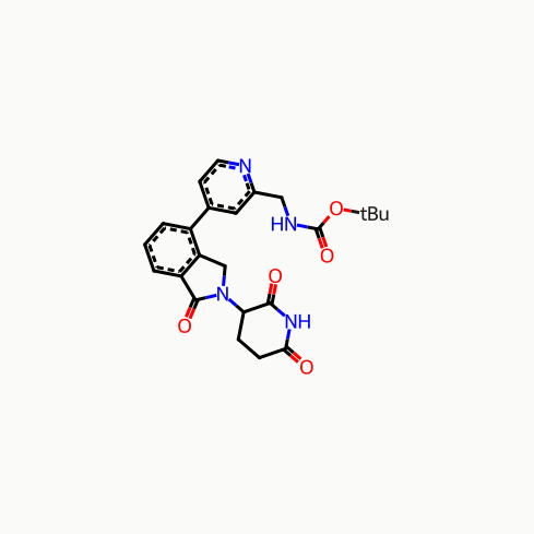 CC(C)(C)OC(=O)NCc1cc(-c2cccc3c2CN(C2CCC(=O)NC2=O)C3=O)ccn1